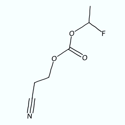 CC(F)OC(=O)OCCC#N